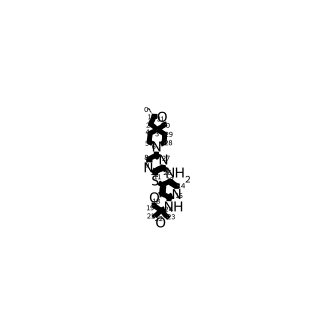 C[C@H]1CC2(CCN(c3cnc(Sc4ccnc5c4OCC4(COC4)N5)c(N)n3)CC2)CO1